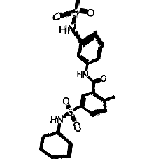 Cc1ccc(S(=O)(=O)NC2CCCCC2)cc1C(=O)Nc1cccc(NS(C)(=O)=O)c1